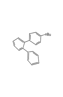 CCCCc1ccc(-c2ccccc2-c2ccccc2)cc1